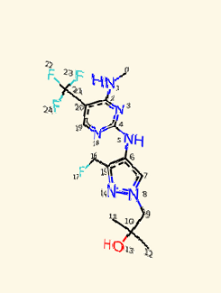 CNc1nc(Nc2cn(CC(C)(C)O)nc2CF)ncc1C(F)(F)F